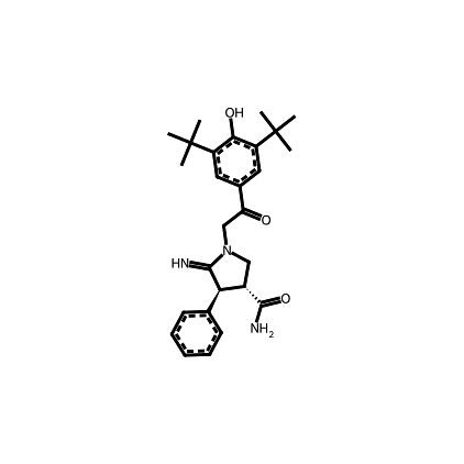 CC(C)(C)c1cc(C(=O)CN2C[C@H](C(N)=O)[C@@H](c3ccccc3)C2=N)cc(C(C)(C)C)c1O